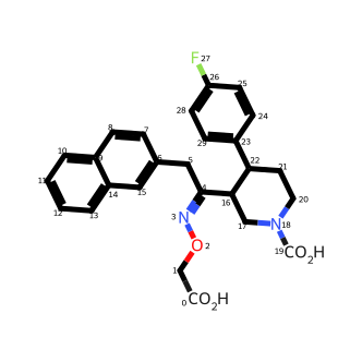 O=C(O)CON=C(Cc1ccc2ccccc2c1)C1CN(C(=O)O)CCC1c1ccc(F)cc1